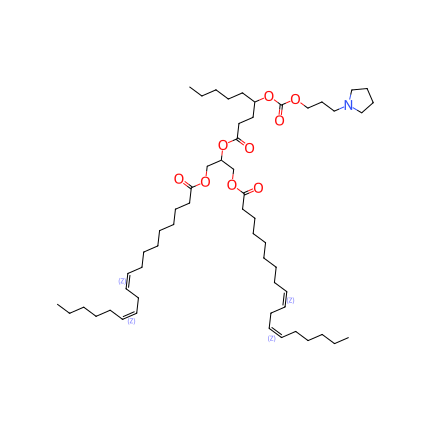 CCCCC/C=C\C/C=C\CCCCCCCC(=O)OCC(COC(=O)CCCCCCC/C=C\C/C=C\CCCCC)OC(=O)CCC(CCCCC)OC(=O)OCCCN1CCCC1